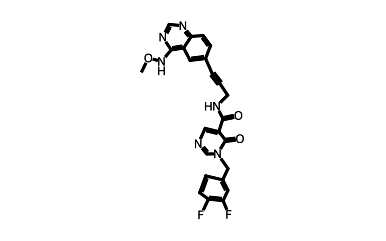 CONc1ncnc2ccc(C#CCNC(=O)c3cncn(Cc4ccc(F)c(F)c4)c3=O)cc12